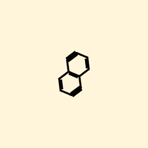 c1ccc2c#cccc2c#1